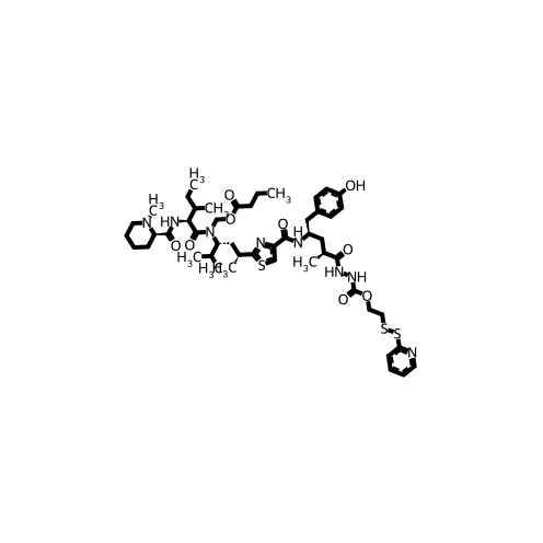 CCCC(=O)OCN(C(=O)[C@@H](NC(=O)[C@H]1CCCCN1C)C(C)CC)[C@H](C[C@@H](C)c1nc(C(=O)N[C@@H](Cc2ccc(O)cc2)C[C@H](C)C(=O)NNC(=O)OCCSSc2ccccn2)cs1)C(C)C